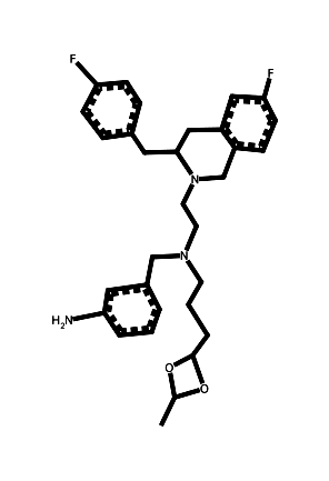 CC1OC(CCCN(CCN2Cc3ccc(F)cc3CC2Cc2ccc(F)cc2)Cc2cccc(N)c2)O1